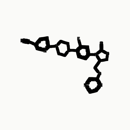 N#Cc1ccc(N2CCN(c3ccc(N4C(=O)OCC4COc4cnccn4)cc3F)CC2)nc1